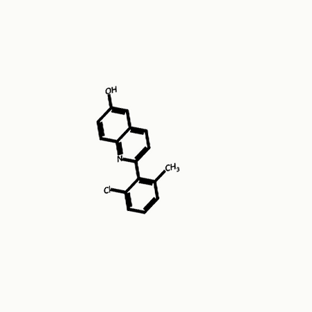 Cc1cccc(Cl)c1-c1ccc2cc(O)ccc2n1